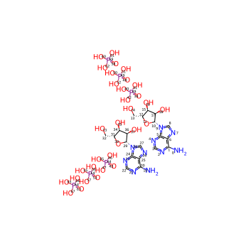 Nc1ncnc2c1ncn2[C@@H]1O[C@H](CO)[C@@H](O)[C@H]1O.Nc1ncnc2c1ncn2[C@@H]1O[C@H](CO)[C@@H](O)[C@H]1O.O=P(O)(O)O.O=P(O)(O)O.O=P(O)(O)O.O=P(O)(O)O.O=P(O)(O)O.O=P(O)(O)O